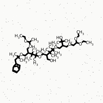 CCOC(C)OCC(COC(C)(C)CC1CC2C=CC1C2)C(C)(C)C(C)(C)OCC(CO)C(C)(C)C(C)(C)OCC(COCC(OCC)OCC)C(C)(C)O